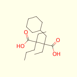 CCCC(CC)(C(=O)O)C(CC)(CC1CCCCC1)C(=O)O